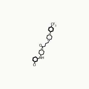 O=C(CCCN1CCN(c2ccc(C(F)(F)F)cc2)CC1)N1CCC(Nc2cccc(Cl)c2)CC1